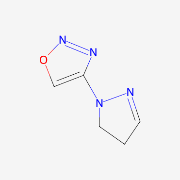 C1=NN(c2conn2)CC1